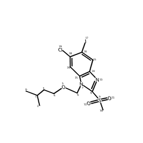 CC(C)CCOCn1c(S(C)(=O)=O)nc2cc(I)c(Cl)cc21